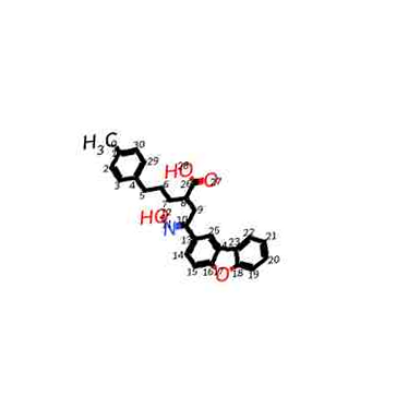 Cc1ccc(CCCC(CC(=NO)c2ccc3oc4ccccc4c3c2)C(=O)O)cc1